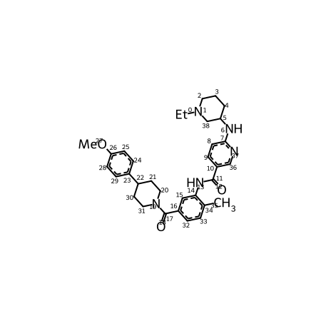 CCN1CCCC(Nc2ccc(C(=O)Nc3cc(C(=O)N4CCC(c5ccc(OC)cc5)CC4)ccc3C)cn2)C1